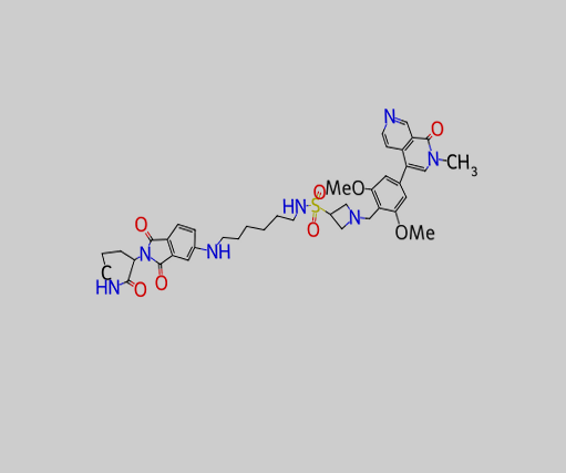 COc1cc(-c2cn(C)c(=O)c3cnccc23)cc(OC)c1CN1CC(S(=O)(=O)NCCCCCCNc2ccc3c(c2)C(=O)N(C2CCCNC2=O)C3=O)C1